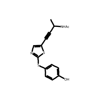 CC(=O)NC(C)C#Cc1cnc(Sc2ccc(O)cc2)s1